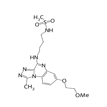 COCCOc1ccc2c(c1)nc(NCCCCNS(C)(=O)=O)c1nnc(C)n12